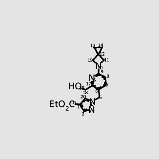 CCOC(=O)c1cnn(Cc2ccc(N3CC4(CC4)C3)nc2CO)c1